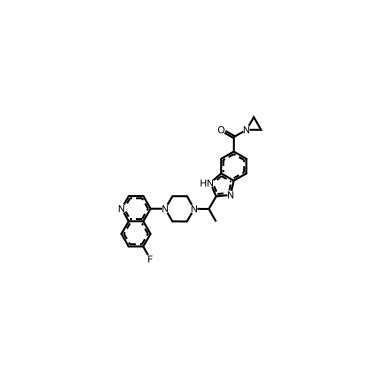 CC(c1nc2ccc(C(=O)N3CC3)cc2[nH]1)N1CCN(c2ccnc3ccc(F)cc23)CC1